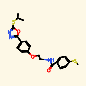 CSc1ccc(C(=O)NCCOc2ccc(-c3nnc(SC(C)C)o3)cc2)cc1